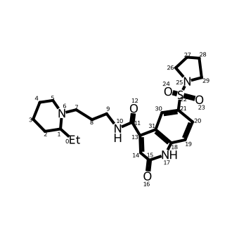 CCC1CCCCN1CCCNC(=O)c1cc(=O)[nH]c2ccc(S(=O)(=O)N3CCCC3)cc12